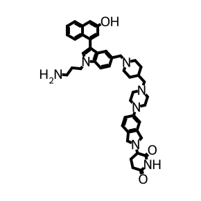 NCCCn1cc(-c2cc(O)cc3ccccc23)c2cc(CN3CCC(CN4CCN(c5ccc6c(c5)CN(C5CCC(=O)NC5=O)C6)CC4)CC3)ccc21